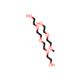 COCCOCCO.OCCOCCOCCOCCO